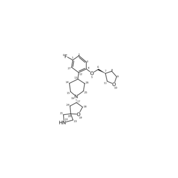 Fc1ccc(OC[C@H]2CCOC2)c(C2CCN([C@@H]3COC4(CNC4)C3)CC2)c1